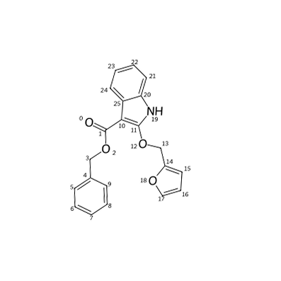 O=C(OCc1ccccc1)c1c(OCc2ccco2)[nH]c2ccccc12